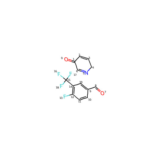 O=C1C=CCN=C1.O=Cc1ccc(F)c(C(F)(F)F)c1